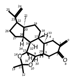 C=C1C[C@@]2(C)[C@H](CC1=O)[C@H]1OC(C)(C)O[C@@H]1[C@@H]1[C@@H]2CC[C@]2(C)C(C(=C)C)CC[C@@H]12